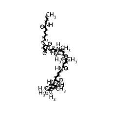 CCCCNC(=O)CCCCCSC1CC(=O)N(CCC(=O)NC(C)(C)CCOC(C)(C)CCC(=O)NCCCCC2NC(=O)C(C)(CCC(C)(C)C)NC2=O)C1=O